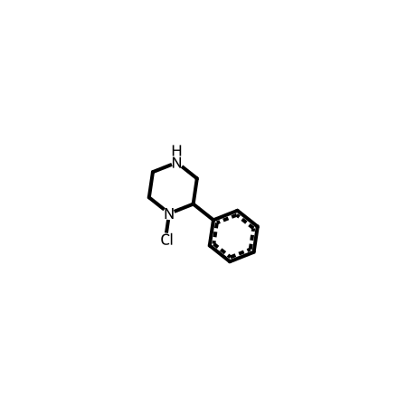 ClN1CCNCC1c1ccccc1